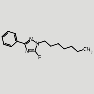 CCCCCCCn1nc(-c2ccccc2)nc1F